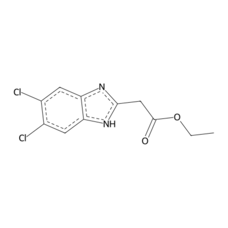 CCOC(=O)Cc1nc2cc(Cl)c(Cl)cc2[nH]1